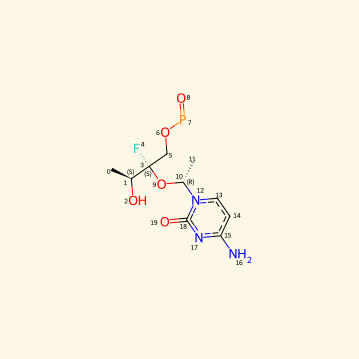 C[C@H](O)[C@@](F)(COP=O)O[C@H](C)n1ccc(N)nc1=O